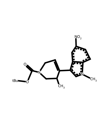 CC1CN(C(=O)OC(C)(C)C)CC=C1c1cn(C)c2ccc([N+](=O)[O-])cc12